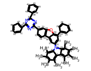 Bc1c(B)c(B)c2c(c1B)c1c(B)c(B)c(B)c(B)c1n2-c1cc(-c2ccccc2)c2oc3cc(-c4nc(-c5ccccc5)nc(-c5ccccc5)n4)ccc3c2c1